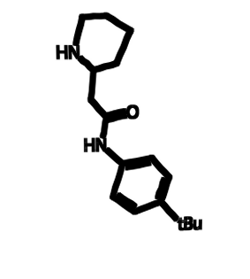 CC(C)(C)c1ccc(NC(=O)CC2CCCCN2)cc1